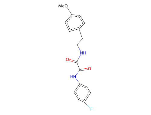 COc1ccc(CCNC(=O)C(=O)Nc2ccc(F)cc2)cc1